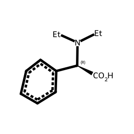 CCN(CC)[C@@H](C(=O)O)c1ccccc1